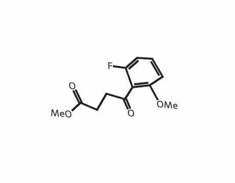 COC(=O)CCC(=O)c1c(F)cccc1OC